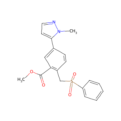 COC(=O)c1cc(-c2ccnn2C)ccc1CS(=O)(=O)c1ccccc1